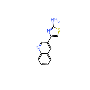 Nc1nc(-c2cnc3ccccc3c2)cs1